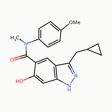 COc1ccc(N(C)C(=O)c2cc3c(CC4CC4)n[nH]c3cc2O)cc1